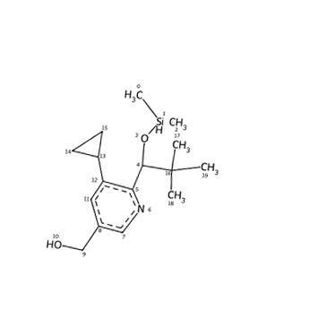 C[SiH](C)OC(c1ncc(CO)cc1C1CC1)C(C)(C)C